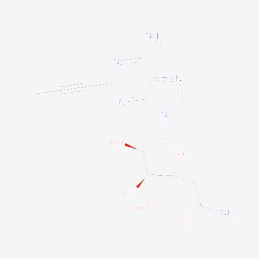 CCC#Cc1nc(N)c2ncn([C@@H]3O[C@@](CO)(CC(N)=O)[C@@H](O)[C@H]3O)c2n1